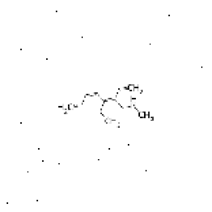 C=C/C=C\C(CC)=C(/C=C)CNC